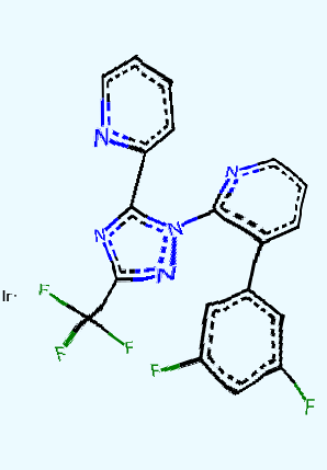 Fc1cc(F)cc(-c2cccnc2-n2nc(C(F)(F)F)nc2-c2ccccn2)c1.[Ir]